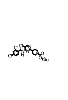 C[C@@H](Nc1nc(C2CCN(C(=O)OC(C)(C)C)CC2)ncc1Cl)c1ccc(Cl)cc1Cl